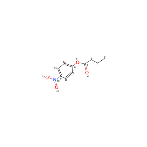 CCCC(=O)Oc1ccc([N+](=O)[O-])cc1